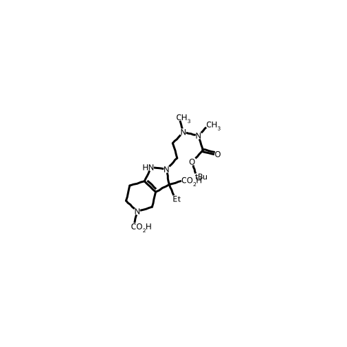 CCC1(C(=O)O)C2=C(CCN(C(=O)O)C2)NN1CCN(C)N(C)C(=O)OC(C)(C)C